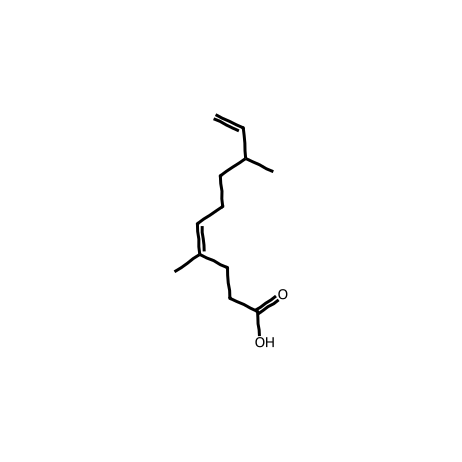 C=CC(C)CCC=C(C)CCC(=O)O